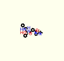 Cc1csc(C2CCCN2C(=O)c2cccc(C(=O)N[C@@H](Cc3ccccc3)[C@H](O)[C@H]3CC[C@@H](c4ccccc4)N3)c2)n1